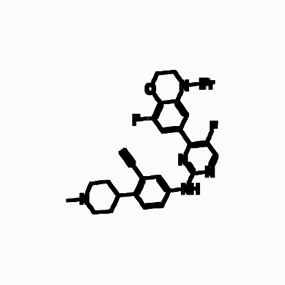 C#Cc1cc(Nc2ncc(F)c(-c3cc(F)c4c(c3)N(C(C)C)CCO4)n2)ccc1C1CCN(C)CC1